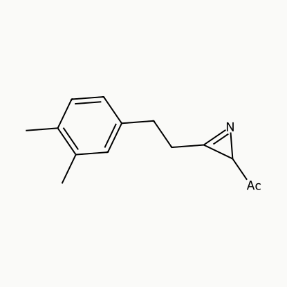 CC(=O)C1N=C1CCc1ccc(C)c(C)c1